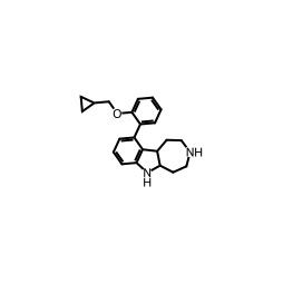 c1ccc(-c2cccc3c2C2CCNCCC2N3)c(OCC2CC2)c1